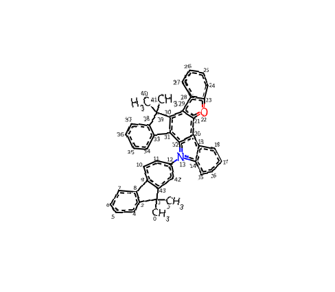 CC1(C)c2ccccc2-c2ccc(-n3c4ccccc4c4c5oc6ccccc6c5c5c(c43)-c3ccccc3C5(C)C)cc21